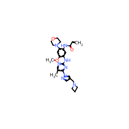 C=CC(=O)Nc1cc(Nc2ncc(C)c(-n3cc(CN4CCC4)cn3)n2)c(OC)cc1N1CCOCC1